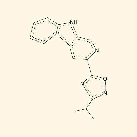 CC(C)c1noc(-c2cc3c(cn2)[nH]c2ccccc23)n1